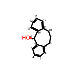 OC1c2ccccc2CCCc2ccccc21